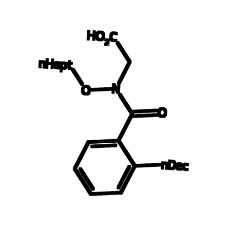 CCCCCCCCCCc1ccccc1C(=O)N(CC(=O)O)OCCCCCCC